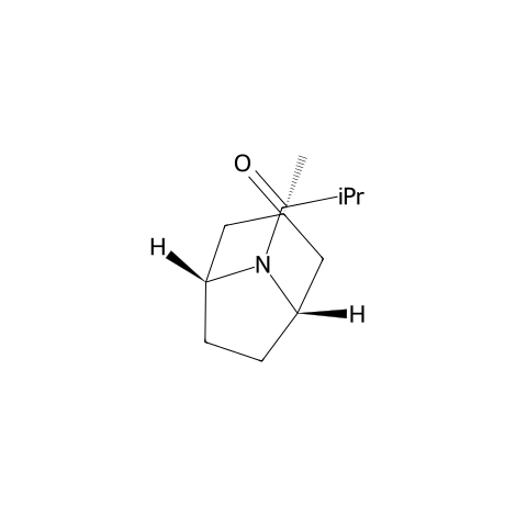 CC(C)C(=O)N1[C@@H]2CC[C@H]1C[C@@H](C)C2